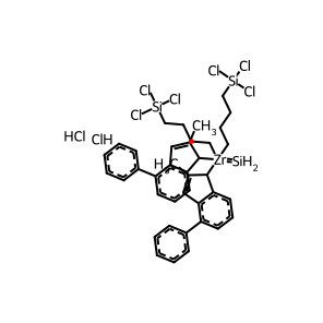 CC1=Cc2c(-c3ccccc3)cccc2[CH]1[Zr](=[SiH2])([CH2]CCC[Si](Cl)(Cl)Cl)([CH2]CCC[Si](Cl)(Cl)Cl)[CH]1C(C)=Cc2c(-c3ccccc3)cccc21.Cl.Cl